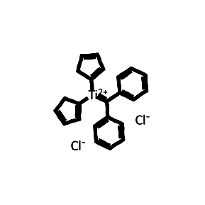 C1=CC[C]([Ti+2]([C]2=CC=CC2)=[C](c2ccccc2)c2ccccc2)=C1.[Cl-].[Cl-]